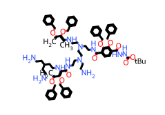 C=C(OCc1ccccc1)/C(OCc1ccccc1)=C(\C)NCCN(CCNC(=O)c1ccc(C(=O)NNC(=O)OC(C)(C)C)c(OCc2ccccc2)c1OCc1ccccc1)CCN(CCN)CCNC(=O)/C(NCCC(CCN)CCN)=C(\OCc1ccccc1)C(=C)OCc1ccccc1